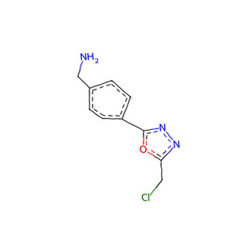 NCc1ccc(-c2nnc(CCl)o2)cc1